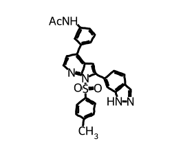 CC(=O)Nc1cccc(-c2ccnc3c2cc(-c2ccc4cn[nH]c4c2)n3S(=O)(=O)c2ccc(C)cc2)c1